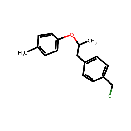 Cc1ccc(OC(C)Cc2ccc(CCl)cc2)cc1